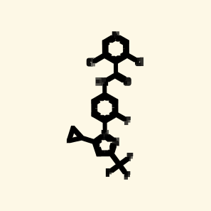 O=C(Nc1ccc(-n2nc(C(F)(F)F)cc2C2CC2)c(F)c1)c1c(Cl)cncc1Cl